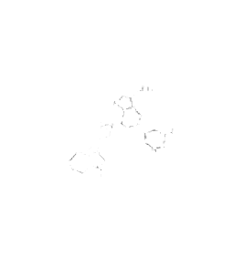 CCC(C)c1cnc2c(NCCC3=CNC4C=CC=CC34)cc(-c3cncc(F)c3)cn12